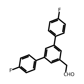 O=CCc1cc(-c2ccc(F)cc2)cc(-c2ccc(F)cc2)c1